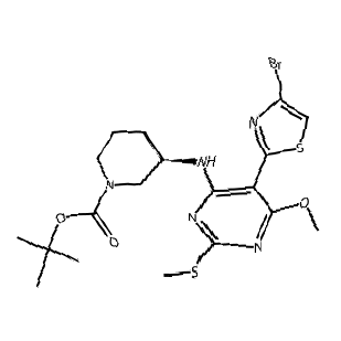 COc1nc(SC)nc(N[C@@H]2CCCN(C(=O)OC(C)(C)C)C2)c1-c1nc(Br)cs1